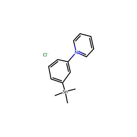 [CH3][Sn]([CH3])([CH3])[c]1cccc(-[n+]2ccccc2)c1.[Cl-]